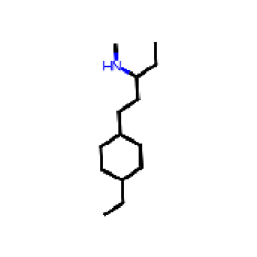 CCC1CCC(CCC(CC)NC)CC1